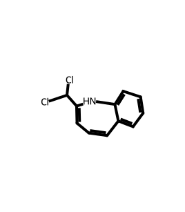 ClC(Cl)C1=CC=Cc2ccccc2N1